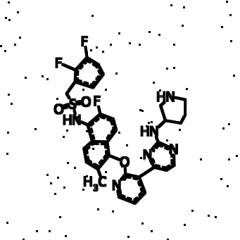 Cc1ccc2c(NS(=O)(=O)Cc3cccc(F)c3F)c(F)ccc2c1Oc1ncccc1-c1ccnc(NC2CCCNC2)n1